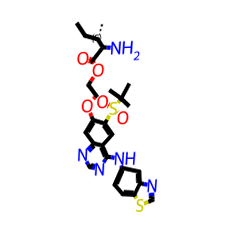 CC[C@H](C)C(N)C(=O)OCCOc1cc2ncnc(Nc3ccc4scnc4c3)c2cc1S(=O)(=O)C(C)(C)C